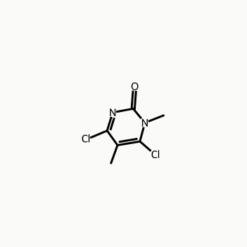 Cc1c(Cl)nc(=O)n(C)c1Cl